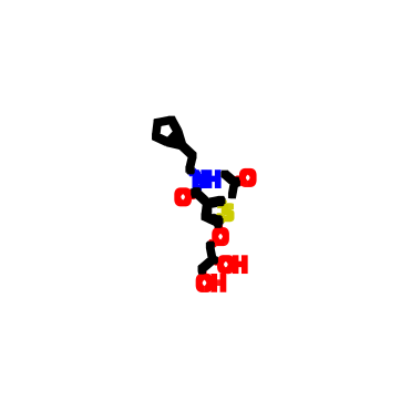 CC(C)=O.O=C(NCCC1C2CCCC21)c1csc(OCC(O)CO)c1